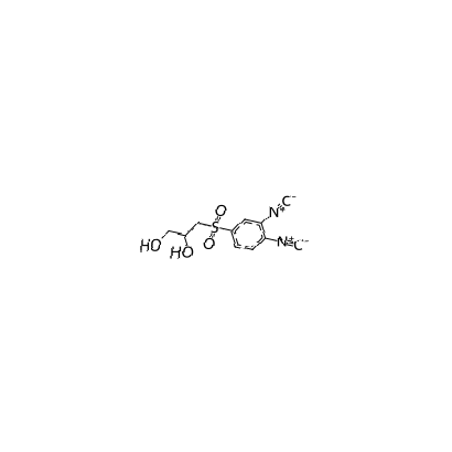 [C-]#[N+]c1ccc(S(=O)(=O)CC(O)CO)cc1[N+]#[C-]